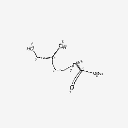 CC(C)COC(=O)NCC(O)CO